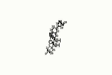 CN1CCC(NC(=O)Nc2cc3cc(-c4cnn(C)c4)ccc3nn2)CC1